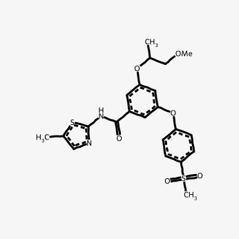 COCC(C)Oc1cc(Oc2ccc(S(C)(=O)=O)cc2)cc(C(=O)Nc2ncc(C)s2)c1